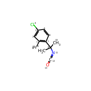 CC(C)c1cc(Cl)ccc1C(C)(C)N=C=O